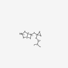 CC(C)OCC1(CN2CC3CNCC32)CC1